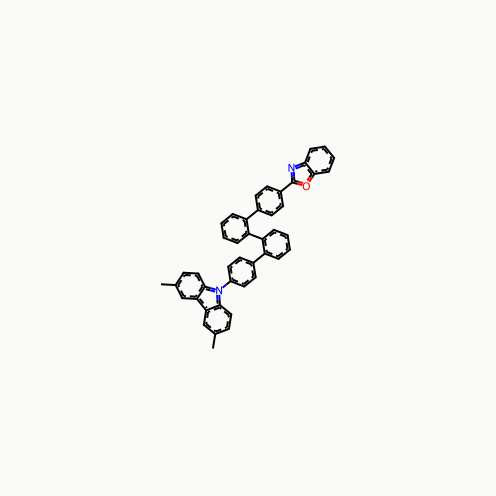 Cc1ccc2c(c1)c1cc(C)ccc1n2-c1ccc(-c2ccccc2-c2ccccc2-c2ccc(-c3nc4ccccc4o3)cc2)cc1